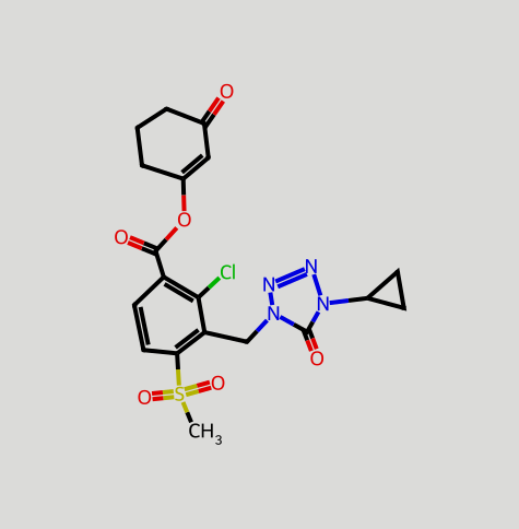 CS(=O)(=O)c1ccc(C(=O)OC2=CC(=O)CCC2)c(Cl)c1Cn1nnn(C2CC2)c1=O